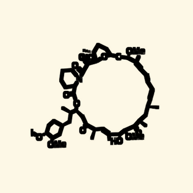 CO[C@H]1CC2CC[C@@H](C)[C@@](O)(O2)C(=O)C(=O)N2CCCCC2C(=O)O[C@H]([C@H](C)C[C@@H]2CC[C@@H](OI)[C@H](OC)C2)CC(=O)[C@H](C)/C=C(\C)[C@@H](O)[C@@H](OC)C(=O)[C@H](C)C[C@H](C)/C=C/C=C/C=C/1C